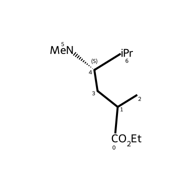 CCOC(=O)C(C)C[C@H](NC)C(C)C